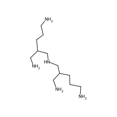 NCCCC(CN)CNCC(CN)CCCN